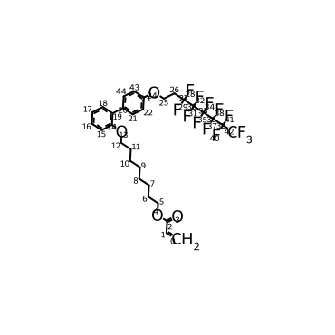 C=CC(=O)OCCCCCCCCOc1ccccc1-c1ccc(OCCC(F)(F)C(F)(F)C(F)(F)C(F)(F)C(F)(F)C(F)(F)F)cc1